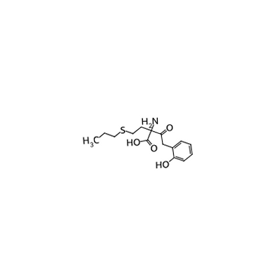 CCCSCCC(N)(C(=O)O)C(=O)Cc1ccccc1O